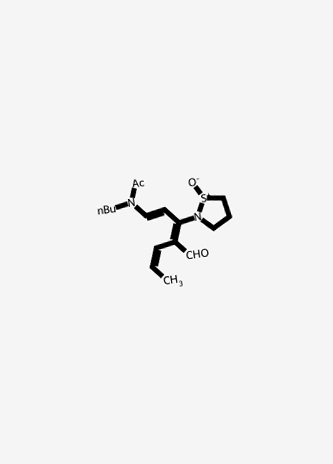 C\C=C/C(C=O)=C(\C=C\N(CCCC)C(C)=O)N1CCC[S+]1[O-]